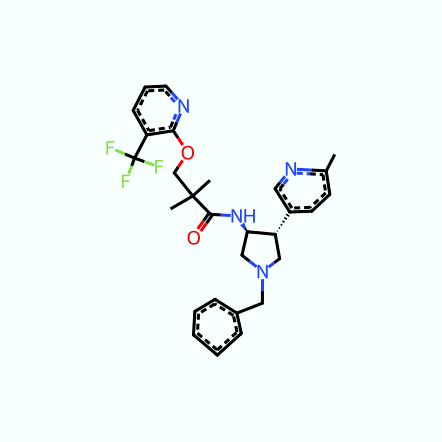 Cc1ccc([C@@H]2CN(Cc3ccccc3)C[C@H]2NC(=O)C(C)(C)COc2ncccc2C(F)(F)F)cn1